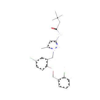 Cc1cc(NC(=O)CC(C)(C)C)nn1Cc1cc(Cl)ccc1OCc1ccccc1F